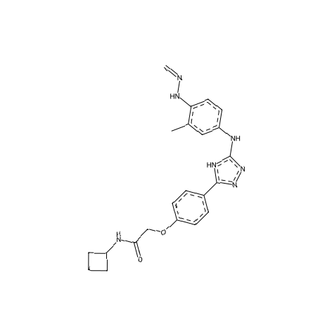 C=NNc1ccc(Nc2nnc(-c3ccc(OCC(=O)NC4CCC4)cc3)[nH]2)cc1C